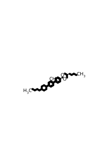 CCCCCC1CCC(c2ccc(-c3ccc([C@H]4OC[C@H](CCCCC)CO4)cc3)c(C)c2)CC1